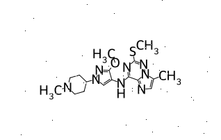 COc1nn(C2CCN(C)CC2)cc1Nc1nc(SC)nn2c(C)cnc12